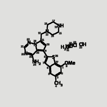 COc1cc(C)cc2cc(-c3cc(CN4CCNCC4)n4ncnc(N)c34)sc12.Cl.Cl.Cl.O